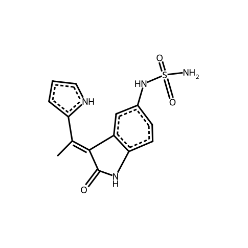 C/C(=C1\C(=O)Nc2ccc(NS(N)(=O)=O)cc21)c1ccc[nH]1